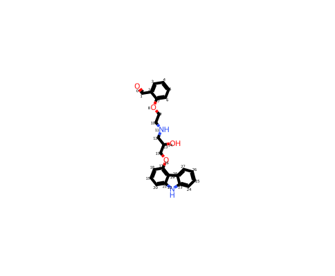 O=Cc1ccccc1OCCNCC(O)COc1cccc2[nH]c3ccccc3c12